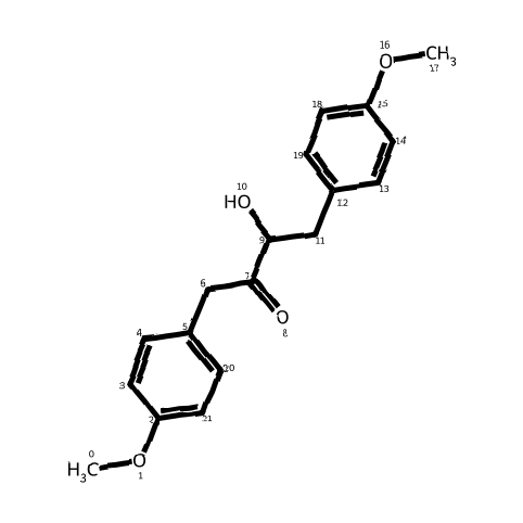 COc1ccc(CC(=O)C(O)Cc2ccc(OC)cc2)cc1